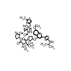 C=C[C@@H]1C[C@]1(NC(=O)[C@@H]1C[C@@H](Oc2cc(-c3csc(NC(C)C)n3)nc3cc(OC)ccc23)CN1C(=O)C(NC(=O)OC1CCCC1)C(C)(C)C)P(=O)(O)Cc1csc(C)n1